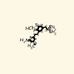 COc1cc(N)nc(CCc2cc(CCN(C)C)cc(F)c2F)c1.Cl